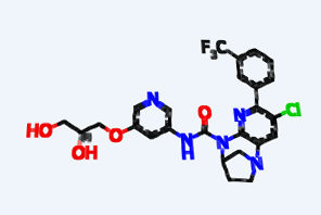 O=C(Nc1cncc(OC[C@H](O)CO)c1)N1c2nc(-c3cccc(C(F)(F)F)c3)c(Cl)cc2N2CCC1C2